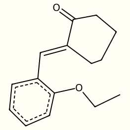 CCOc1ccccc1C=C1CCCCC1=O